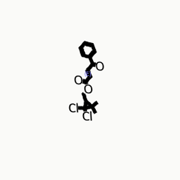 CC1(C)C(COC(=O)/C=C/C(=O)c2ccccc2)C1(Cl)Cl